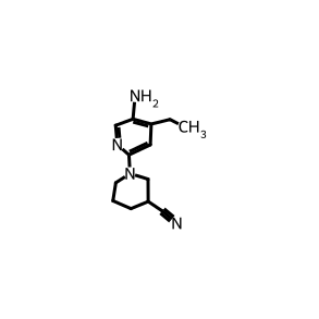 CCc1cc(N2CCCC(C#N)C2)ncc1N